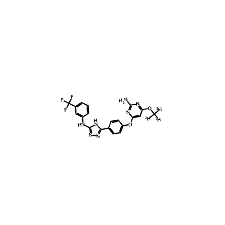 [2H]C([2H])([2H])Oc1cc(Oc2ccc(-c3nnc(Nc4cccc(C(F)(F)F)c4)[nH]3)cc2)nc(N)n1